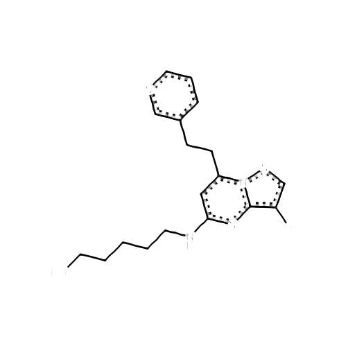 OCCCCCNc1cc(CCc2cccnc2)n2ncc(Br)c2n1